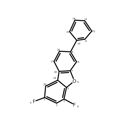 Fc1cc(F)c2oc3cc(-c4ccccc4)ccc3c2c1